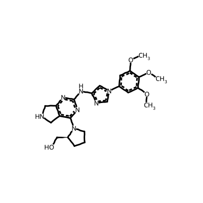 COc1cc(-n2cnc(Nc3nc4c(c(N5CCC[C@H]5CO)n3)CNC4)c2)cc(OC)c1OC